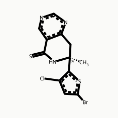 C[C@@]1(c2sc(Br)cc2Cl)Cc2ncncc2C(=S)N1